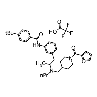 CCCN(CC1CCN(C(=O)c2ccco2)CC1)C(C)Cc1cccc(NC(=O)c2ccc(C(C)(C)C)cc2)c1.O=C(O)C(F)(F)F